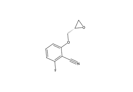 N#Cc1c(F)cccc1OC[C@@H]1CO1